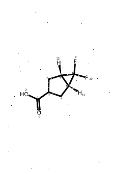 O=C(O)C1C[C@@H]2[C@H](C1)C2(F)F